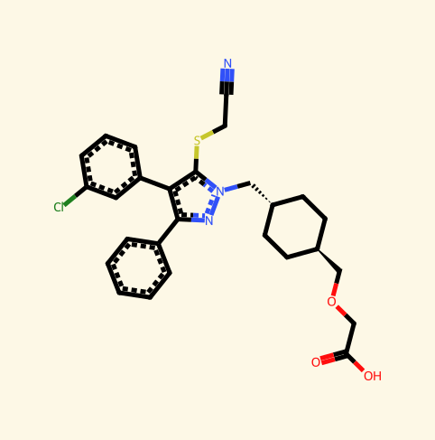 N#CCSc1c(-c2cccc(Cl)c2)c(-c2ccccc2)nn1C[C@H]1CC[C@H](COCC(=O)O)CC1